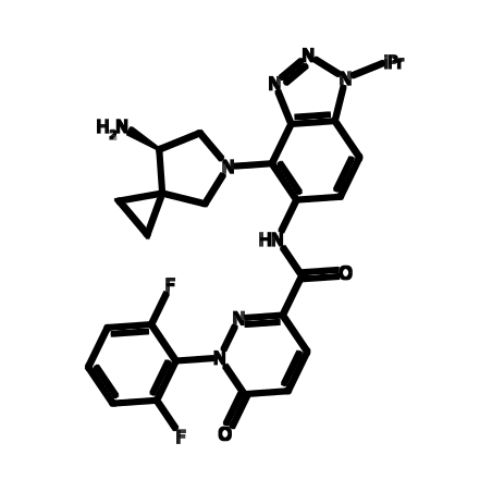 CC(C)n1nnc2c(N3C[C@H](N)C4(CC4)C3)c(NC(=O)c3ccc(=O)n(-c4c(F)cccc4F)n3)ccc21